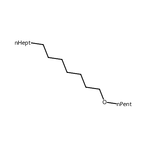 CCCCCCCCCCCCCCOCCCCC